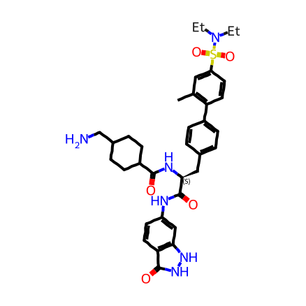 CCN(CC)S(=O)(=O)c1ccc(-c2ccc(C[C@H](NC(=O)C3CCC(CN)CC3)C(=O)Nc3ccc4c(=O)[nH][nH]c4c3)cc2)c(C)c1